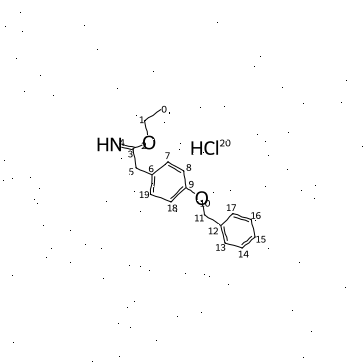 CCOC(=N)Cc1ccc(OCc2ccccc2)cc1.Cl